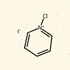 Cl[n+]1ccccc1.[I-]